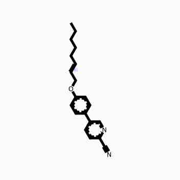 CCCCC/C=C/COc1ccc(-c2ccc(C#N)nc2)cc1